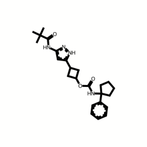 CC(C)(C)C(=O)Nc1cc(C2CC(OC(=O)NC3(c4ccccc4)CCCC3)C2)[nH]n1